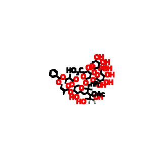 C/C=C(/C)C(=O)OC1C(OC(=O)C(C)C(C)OC(=O)c2ccccc2)COC(CC(C(OC(C)=O)[C@](C)(CO)[C@@H](C)O)C(C)(C)[C@H](CCC)O[C@@H]2OC(C(=O)O)[C@@H](O)C(O[C@@H]3OC[C@@H](O)C(O)C3O)C2O[C@@H]2OC(CO)[C@H](O)C(O)C2O)C1O